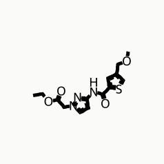 CCOC(=O)Cn1ccc(NC(=O)c2cc(COC)cs2)n1